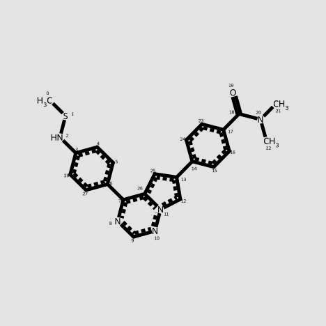 CSNc1ccc(-c2ncnn3cc(-c4ccc(C(=O)N(C)C)cc4)cc23)cc1